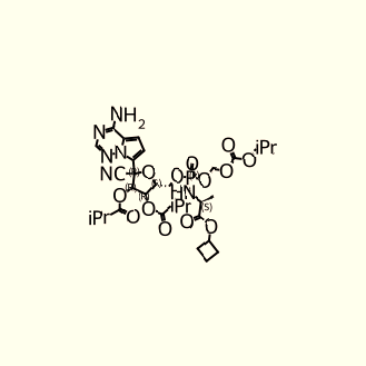 CC(C)OC(=O)OCO[P@@](=O)(N[C@@H](C)C(=O)OC1CCC1)OC[C@H]1O[C@@](C#N)(c2ccc3c(N)ncnn23)[C@H](OC(=O)C(C)C)[C@@H]1OC(=O)C(C)C